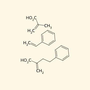 C=C(C)C(=O)O.C=C(CCc1ccccc1)C(=O)O.C=Cc1ccccc1